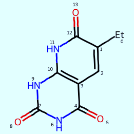 CCc1cc2c(=O)[nH]c(=O)[nH]c2[nH]c1=O